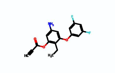 C#CC(=O)Oc1cc(N)cc(Oc2cc(F)cc(F)c2)c1CC